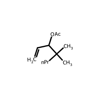 C=CC(OC(C)=O)C(C)(C)CCC